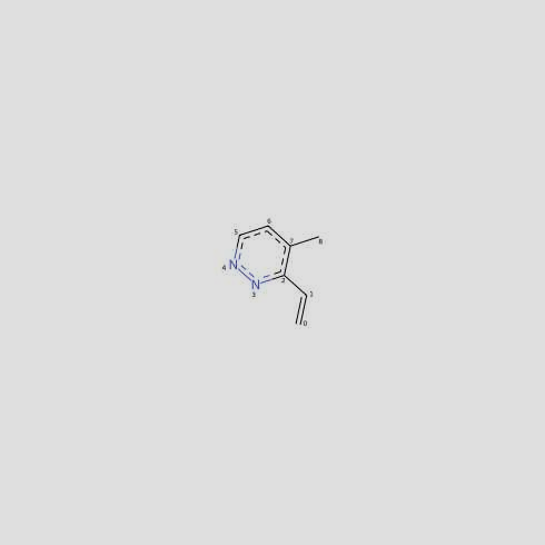 C=Cc1nnccc1C